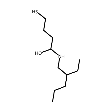 CCCC(CC)CNC(O)CCCS